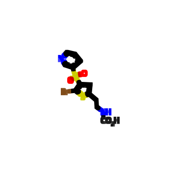 O=C(O)NCCc1cc(S(=O)(=O)c2cccnc2)c(Br)s1